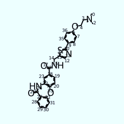 CN(C)CCOc1ccc(-c2ncc(CNC(=O)c3ccc4c(c3)NC(=O)c3ccccc3O4)s2)cc1